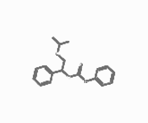 CC(C)OCC(OC(=O)Oc1ccccc1)c1ccccc1